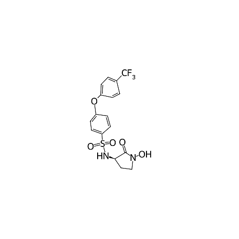 O=C1[C@H](NS(=O)(=O)c2ccc(Oc3ccc(C(F)(F)F)cc3)cc2)CCN1O